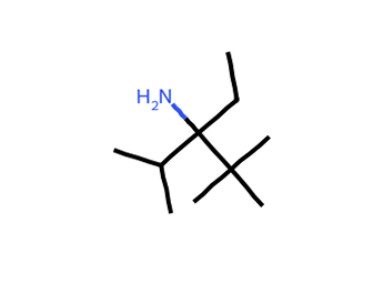 CCC(N)(C(C)C)C(C)(C)C